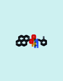 Cc1ccccc1CN[PH](=O)Oc1ccc2ccc3cccc4ccc1c2c34